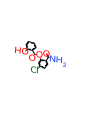 NC(=O)c1ccc(Cl)cc1OC(=O)c1ccccc1O